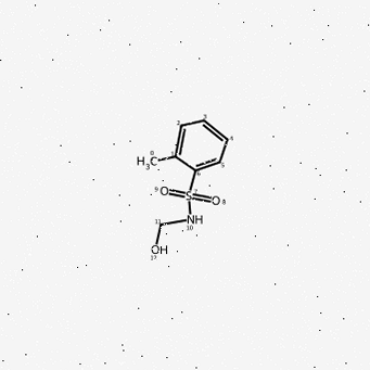 Cc1ccccc1S(=O)(=O)NCO